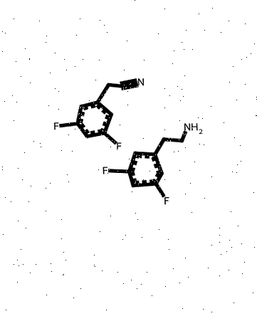 N#CCc1cc(F)cc(F)c1.NCCc1cc(F)cc(F)c1